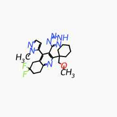 COCC1(c2nc3c(c(-c4ccnn4C)c2-c2nn[nH]n2)CC(F)(F)CC3)CCCCC1